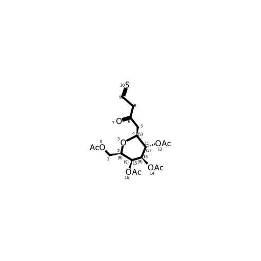 CC(=O)OC[C@H]1O[C@@H](CC(=O)C[C]=S)[C@H](OC(C)=O)[C@@H](OC(C)=O)[C@H]1OC(C)=O